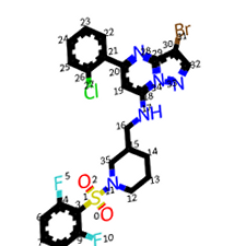 O=S(=O)(c1c(F)cccc1F)N1CCCC(CNc2cc(-c3ccccc3Cl)nc3c(Br)cnn23)C1